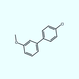 COc1[c]c(-c2ccc(Cl)cc2)ccc1